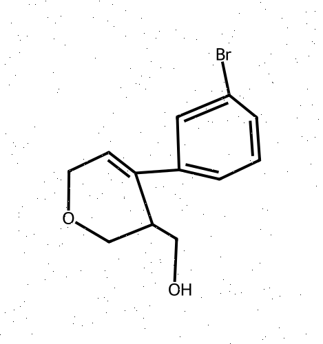 OCC1COCC=C1c1cccc(Br)c1